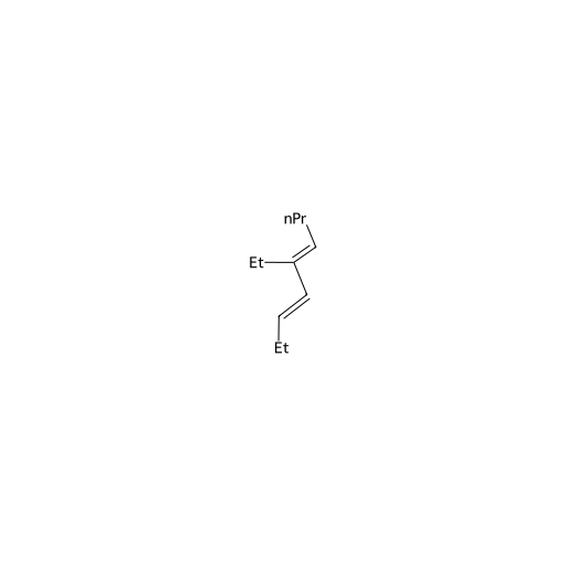 CC/C=C/C(=C/CCC)CC